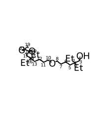 CCC(CC)(CO)CCCCOCCCCC(CC)(CC)CS(C)(=O)=O